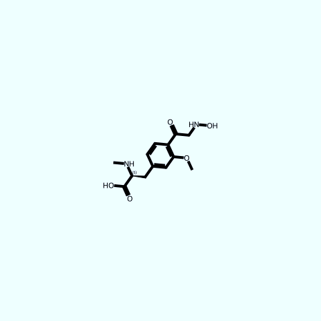 CN[C@@H](Cc1ccc(C(=O)CNO)c(OC)c1)C(=O)O